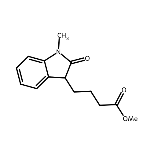 COC(=O)CCCC1C(=O)N(C)c2ccccc21